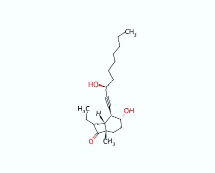 CCCCCCC[C@H](O)C#C[C@H]1[C@H](O)CC[C@]2(C)C(=O)C(CC)[C@H]12